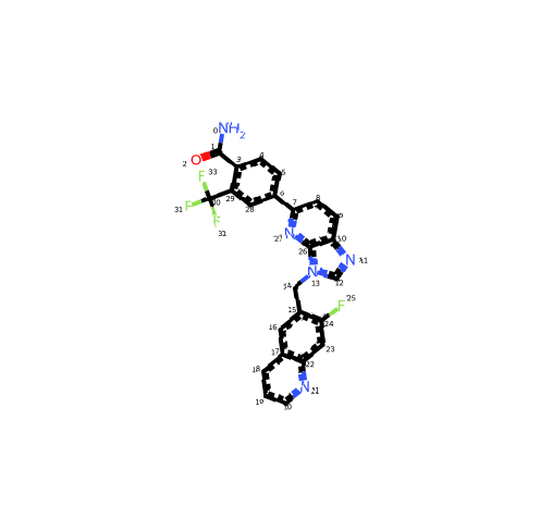 NC(=O)c1ccc(-c2ccc3ncn(Cc4cc5cccnc5cc4F)c3n2)cc1C(F)(F)F